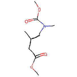 COC(=O)CC(C)CN(C)C(=O)OC